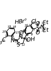 Br.CCN(CC)S(=O)(=O)c1cc(C2(O)CSC(=Nc3ccccc3C)N2C)ccc1Cl